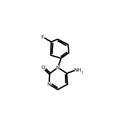 Nc1ccnc(=O)n1-c1cccc(F)c1